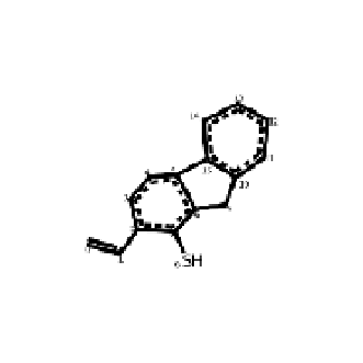 C=Cc1ccc2c(c1S)Cc1ccccc1-2